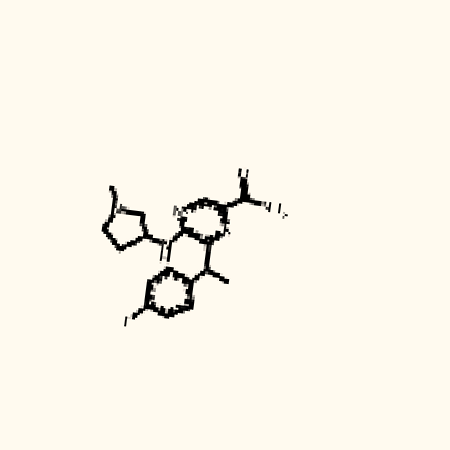 CC(c1ccc(F)cc1)c1nc(C(N)=O)cnc1NC1CCN(C)C1